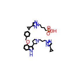 O=S(=O)(O)CCCCn1ncc(C2CC2)n1.c1ccc(COc2cccc3[nH]cc(C4CCN(CCCn5ncc(C6CC6)n5)C4)c23)cc1